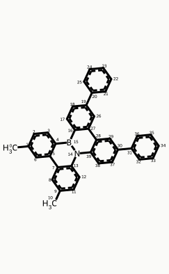 Cc1ccc2c(c1)-c1cc(C)ccc1N1B2c2ccc(-c3ccccc3)cc2-c2cc(-c3ccccc3)ccc21